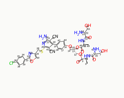 C[C@H](NC(=O)[C@@H](N)CO)C(=O)OC[C@H](COc1ccc(-c2c(C#N)c(N)nc(SCc3coc(-c4ccc(Cl)cc4)n3)c2C#N)cc1)OC(=O)[C@H](C)NC(=O)[C@@H](N)CO